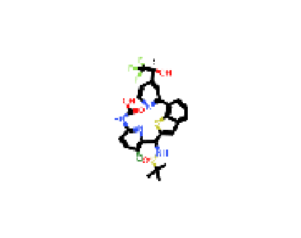 CC(C)(C)[S+]([O-])NC(c1cc2cccc(-c3cc([C@](C)(O)C(F)(F)F)ccn3)c2s1)c1nc(NC(=O)O)ccc1Cl